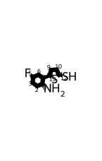 Nc1ccc(F)cc1-c1ccc(S)s1